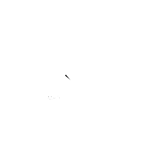 CC[C@H](COC)c1ccccc1